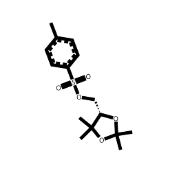 Cc1ccc(S(=O)(=O)OC[C@@H]2OC(C)(C)OC2(C)C)cc1